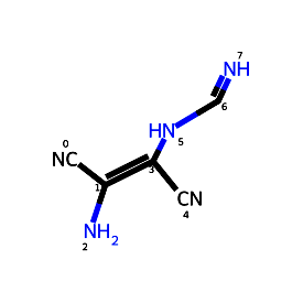 N#C/C(N)=C(/C#N)NC=N